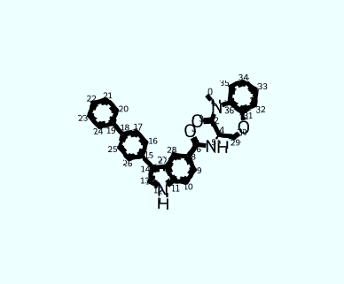 CN1C(=O)[C@@H](NC(=O)c2ccc3[nH]cc(-c4ccc(-c5ccccc5)cc4)c3c2)COc2ccccc21